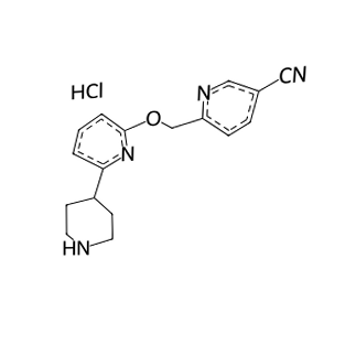 Cl.N#Cc1ccc(COc2cccc(C3CCNCC3)n2)nc1